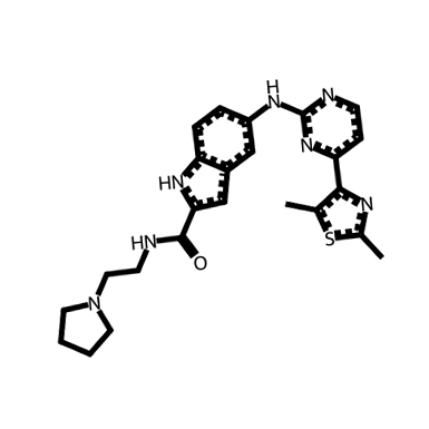 Cc1nc(-c2ccnc(Nc3ccc4[nH]c(C(=O)NCCN5CCCC5)cc4c3)n2)c(C)s1